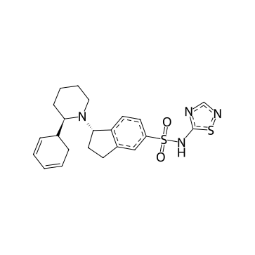 O=S(=O)(Nc1ncns1)c1ccc2c(c1)CC[C@@H]2N1CCCC[C@@H]1C1C=CC=CC1